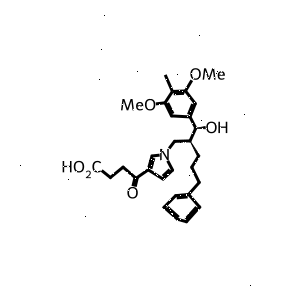 COc1cc([C@@H](O)[C@@H](CCCc2ccccc2)Cn2ccc(C(=O)CCC(=O)O)c2)cc(OC)c1C